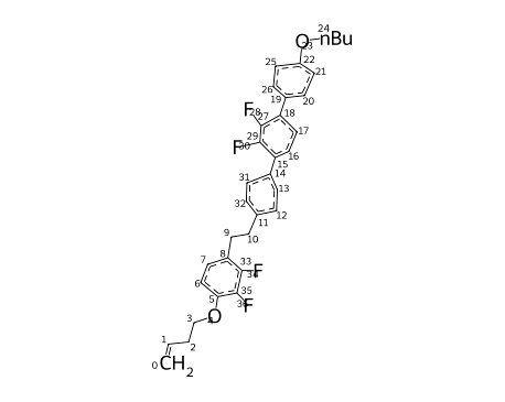 C=CCCOc1ccc(CCc2ccc(-c3ccc(-c4ccc(OCCCC)cc4)c(F)c3F)cc2)c(F)c1F